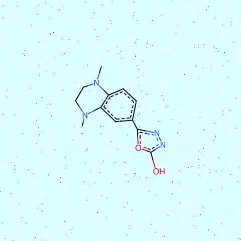 CN1CCN(C)c2cc(-c3nnc(O)o3)ccc21